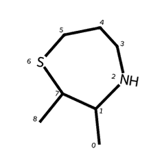 CC1NCCCSC1C